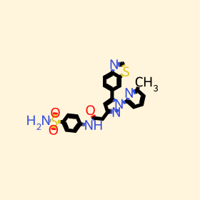 Cc1cccc(-n2nc(CC(=O)Nc3ccc(S(N)(=O)=O)cc3)cc2-c2ccc3ncsc3c2)n1